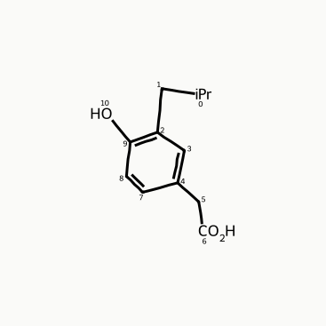 CC(C)Cc1cc(CC(=O)O)ccc1O